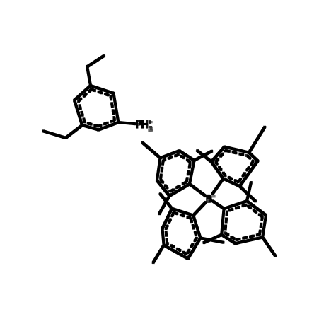 CCc1cc([PH3+])cc(CC)c1.Cc1cc(C)c([B-](c2c(C)cc(C)cc2C)(c2c(C)cc(C)cc2C)c2c(C)cc(C)cc2C)c(C)c1